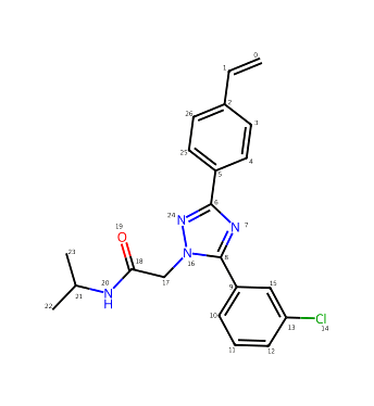 C=Cc1ccc(-c2nc(-c3cccc(Cl)c3)n(CC(=O)NC(C)C)n2)cc1